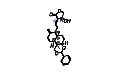 C=C1CC[C@@H]2[C@]3(C)COC(c4ccccc4)O[C@@H]3CC[C@@]2(C)[C@@H]1C/C=C1/C(=O)OC[C@H]1O